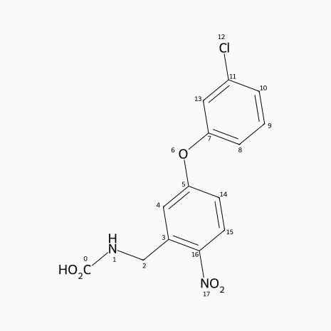 O=C(O)NCc1cc(Oc2cccc(Cl)c2)ccc1[N+](=O)[O-]